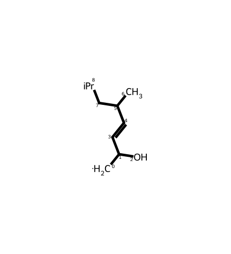 [CH2]C(O)/C=C/C(C)CC(C)C